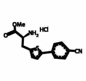 COC(=O)[C@@H](N)Cc1ccc(-c2ccc(C#N)cc2)s1.Cl